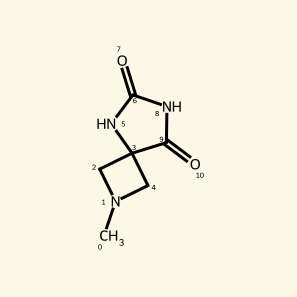 CN1CC2(C1)NC(=O)NC2=O